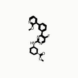 COC(=O)[C@H]1CCC[C@@H](Nc2ncc(F)c(-c3cccc(-c4cccnc4OC)c3)n2)C1